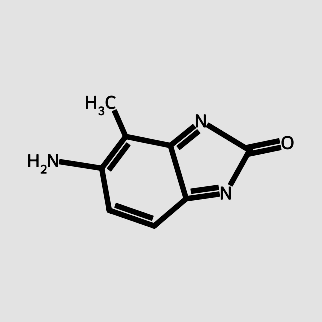 Cc1c(N)ccc2c1=NC(=O)N=2